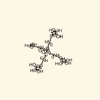 CC1[C@H](OCCCNC(=O)CCOCC(COCCC(=O)NCCCO[C@@H]2OC(CO)[C@H](O)[C@H](O)C2C)(COCCC(=O)NCCCO[C@@H]2OC(CO)[C@H](O)[C@H](O)C2C)NC(=O)CC(=O)NCCCOP(=O)(O)C(C)(C)C)OC(CO)[C@H](O)[C@@H]1O